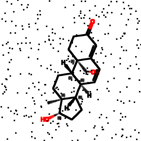 C[C@]12CC[C@H]3[C@@H](C=CC4=CC(=O)CC[C@@]43CO)[C@@H]1CC[C@@H]2O